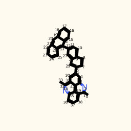 Cc1nc2cc(-c3ccc4ccc(-c5c6ccccc6cc6ccccc56)cc4c3)cc3c(C)nc4cccc1c4c23